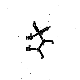 CCC(C)N(C)S(=O)(=O)O